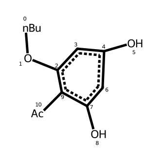 CCCCOc1cc(O)cc(O)c1C(C)=O